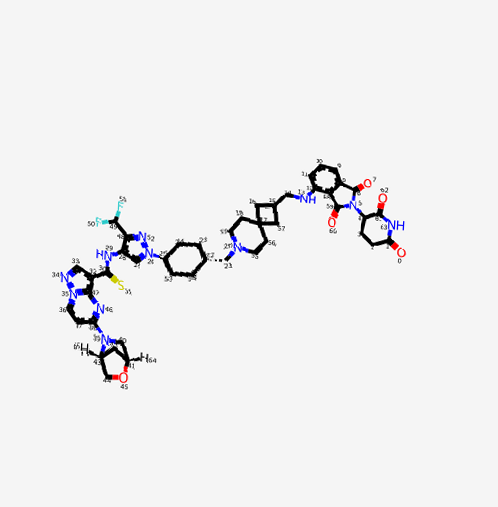 O=C1CCC(N2C(=O)c3cccc(NCC4CC5(CCN(C[C@H]6CC[C@H](n7cc(NC(=S)c8cnn9ccc(N%10C[C@H]%11C[C@@H]%10CO%11)nc89)c(C(F)F)n7)CC6)CC5)C4)c3C2=O)C(=O)N1